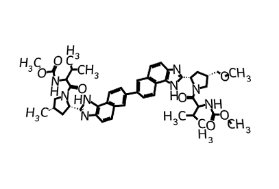 COC[C@H]1C[C@@H](c2nc3ccc4cc(-c5ccc6c(ccc7nc([C@@H]8C[C@H](C)CN8C(=O)C(NC(=O)OC)C(C)C)[nH]c76)c5)ccc4c3[nH]2)N(C(=O)C(NC(=O)OC)C(C)C)C1